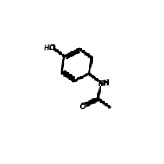 CC(=O)NC1C=CC(O)=CC1